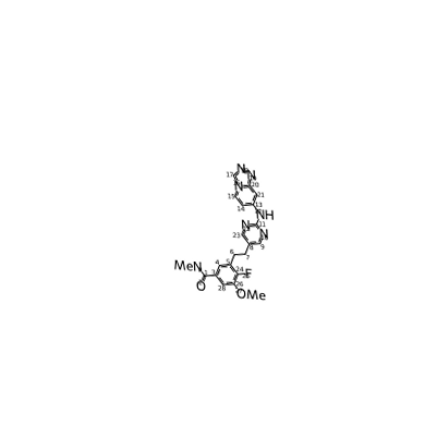 CNC(=O)c1cc(CCc2cnc(Nc3ccn4cnnc4c3)nc2)c(F)c(OC)c1